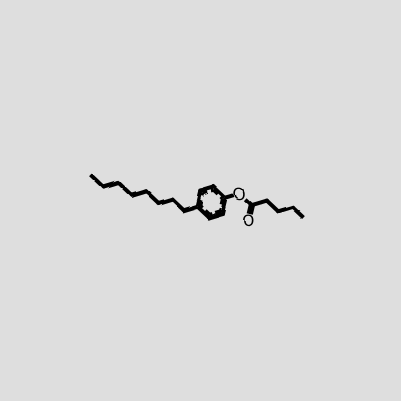 CCCCCCCCc1ccc(OC(=O)CCCC)cc1